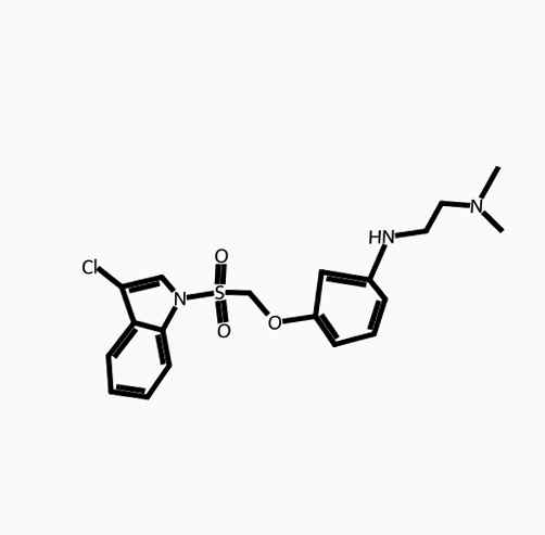 CN(C)CCNc1cccc(OCS(=O)(=O)n2cc(Cl)c3ccccc32)c1